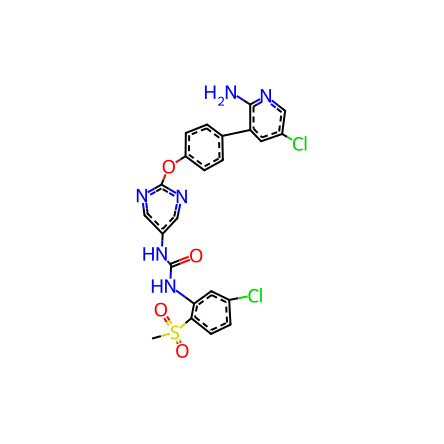 CS(=O)(=O)c1ccc(Cl)cc1NC(=O)Nc1cnc(Oc2ccc(-c3cc(Cl)cnc3N)cc2)nc1